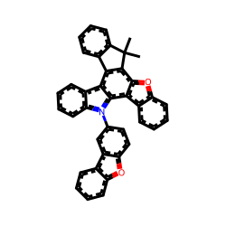 CC1(C)c2ccccc2-c2c1c1oc3ccccc3c1c1c2c2ccccc2n1-c1ccc2oc3ccccc3c2c1